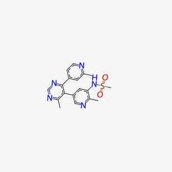 Cc1cc(-c2ncnc(C)c2-c2cnc(C)c(NS(C)(=O)=O)c2)ccn1